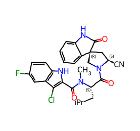 CC(C)C[C@@H](C(=O)N1C[C@]2(C[C@H]1C#N)C(=O)Nc1ccccc12)N(C)C(=O)c1[nH]c2ccc(F)cc2c1Cl